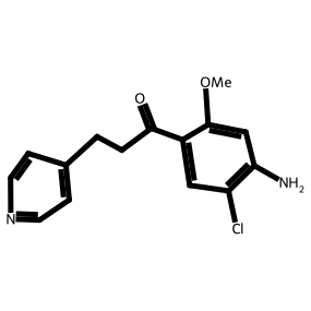 COc1cc(N)c(Cl)cc1C(=O)CCc1ccncc1